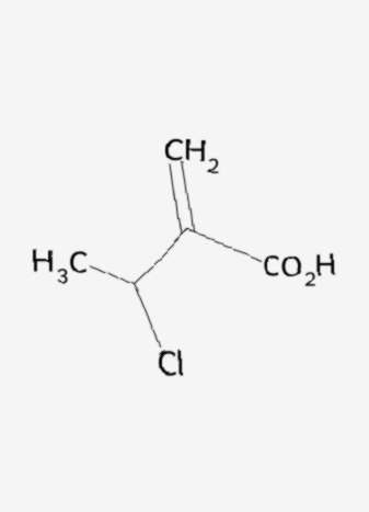 C=C(C(=O)O)C(C)Cl